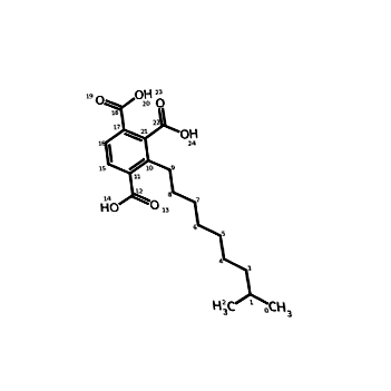 CC(C)CCCCCCCc1c(C(=O)O)ccc(C(=O)O)c1C(=O)O